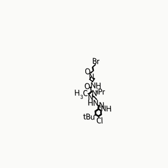 Cc1nc(CNc2n[nH]c3cc(Cl)c(C(C)(C)C)cc23)n(C(C)C)c1C(=O)NC1CN(C(=O)C=CCBr)C1